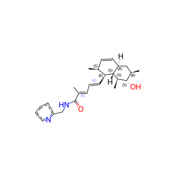 C/C(=C\C=C\[C@@H]1[C@H]2[C@H](C)[C@@H](O)[C@H](C)C[C@@H]2C=C[C@@H]1C)C(=O)NCc1ccccn1